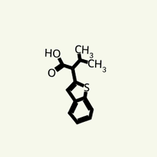 CC(C)C(C(=O)O)c1cc2ccccc2s1